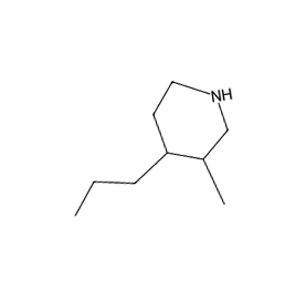 CCCC1CCNCC1C